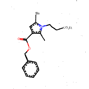 CCOC(=O)CCn1c(C(C)(C)C)cc(C(=O)OCc2ccccc2)c1C